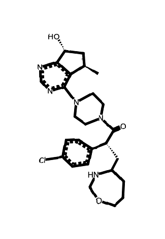 C[C@@H]1C[C@@H](O)c2ncnc(N3CCN(C(=O)[C@H](CC4CCCOCN4)c4ccc(Cl)cc4)CC3)c21